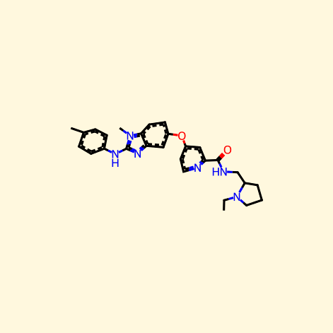 CCN1CCCC1CNC(=O)c1cc(Oc2ccc3c(c2)nc(Nc2ccc(C)cc2)n3C)ccn1